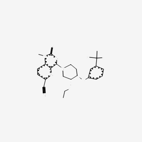 CCO[C@@H]1CN(c2nc(=O)n(C)c3ccc(C#N)nc23)CC[C@H]1Oc1cccc(C(F)(F)F)c1